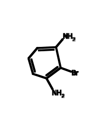 Nc1cccc(N)c1Br